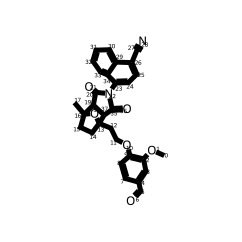 COc1cc(C=O)ccc1OCCC12CCC(C)(O1)C1C(=O)N(c3ccc(C#N)c4ccccc34)C(=O)C12